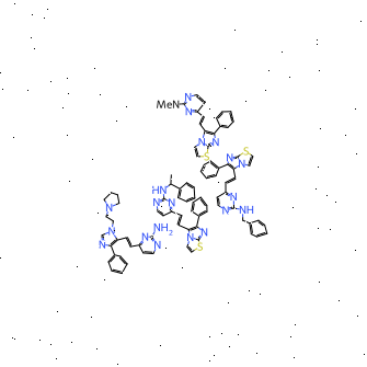 C(=Cc1c(-c2ccccc2)nc2sccn12)c1ccnc(NCc2ccccc2)n1.CC(Nc1nccc(C=Cc2c(-c3ccccc3)nc3sccn23)n1)c1ccccc1.CNc1nccc(C=Cc2c(-c3ccccc3)nc3sccn23)n1.Nc1nccc(C=Cc2c(-c3ccccc3)ncn2CCN2CCCC2)n1